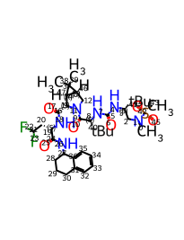 CN(C[C@@H](NC(=O)N[C@H](C(=O)N1C[C@H]2[C@@H]([C@H]1C(=O)N[C@@H](CC(F)F)C(=O)NC1CCCc3ccccc31)C2(C)C)C(C)(C)C)C(C)(C)C)S(C)(=O)=O